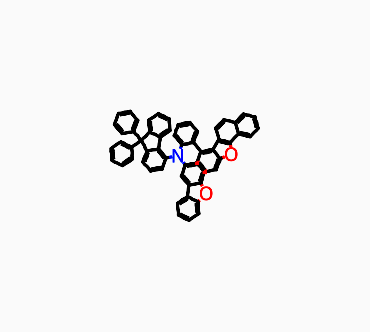 c1ccc(C2(c3ccccc3)c3ccccc3-c3c(N(c4ccc5oc6ccccc6c5c4)c4ccccc4-c4cccc5oc6c7ccccc7ccc6c45)cccc32)cc1